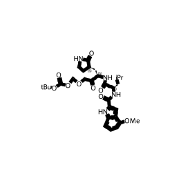 COc1cccc2[nH]c(C(=O)N[C@@H](CC(C)C)C(=O)N[C@@H](C[C@@H]3CCNC3=O)C(=O)COCOC(=O)OC(C)(C)C)cc12